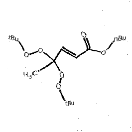 CCCCOC(=O)C=CC(C)(OOC(C)(C)C)OOC(C)(C)C